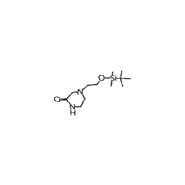 CC(C)(C)[Si](C)(C)OCCN1CCNC(=O)C1